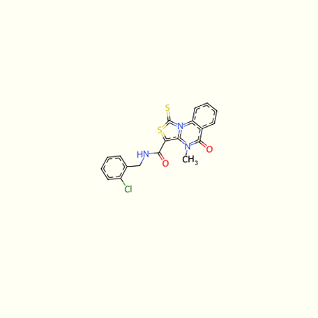 Cn1c(=O)c2ccccc2n2c(=S)sc(C(=O)NCc3ccccc3Cl)c12